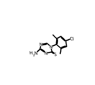 Cc1cc(Cl)cc(C)c1-n1cnc(N)nc1=S